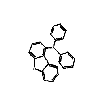 c1ccc([Si](c2ccccc2)c2cccc3oc4ccccc4c23)cc1